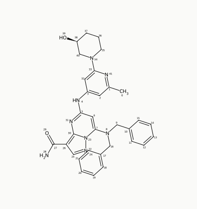 Cc1cc(Nc2cc(N(Cc3ccccc3)Cc3ccccc3)n3ncc(C(N)=O)c3n2)cc(N2CCC[C@H](O)C2)n1